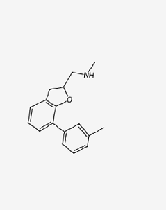 CNCC1Cc2cccc(-c3cccc(C)c3)c2O1